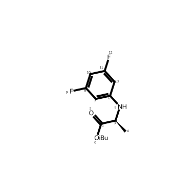 CC(C)COC(=O)[C@H](C)Nc1cc(F)cc(F)c1